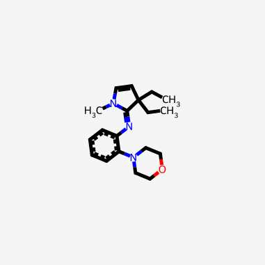 CCC1(CC)C=CN(C)C1=Nc1ccccc1N1CCOCC1